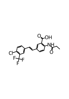 CCC(=O)Nc1ccc(C=Cc2ccc(Cl)c(C(F)(F)F)c2)cc1C(=O)O